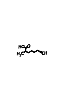 C#CCCCCC(C)C(=O)O